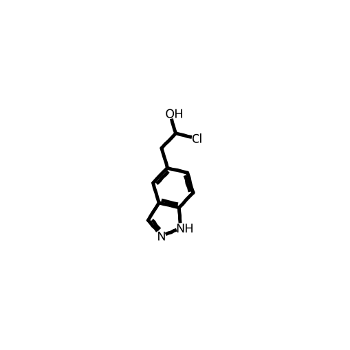 OC(Cl)Cc1ccc2[nH]ncc2c1